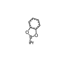 CC(C)B1Oc2ccccc2O1